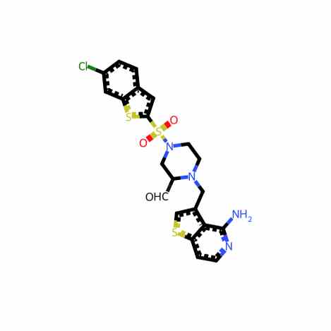 Nc1nccc2scc(CN3CCN(S(=O)(=O)c4cc5ccc(Cl)cc5s4)CC3C=O)c12